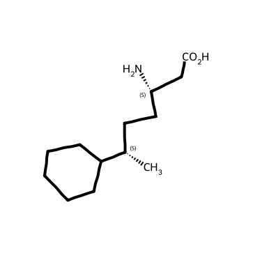 C[C@@H](CC[C@H](N)CC(=O)O)C1CCCCC1